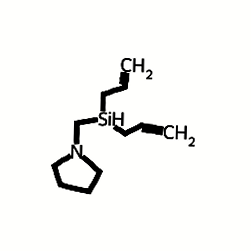 C=CC[SiH](CC=C)CN1CCCC1